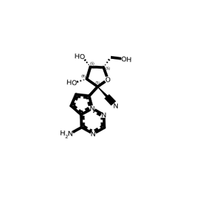 N#C[C@]1(c2ccc3c(N)ncnn23)O[C@@H](CO)[C@@H](O)[C@H]1O